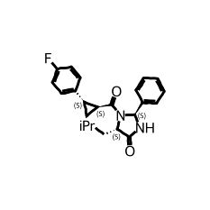 CC(C)C[C@H]1C(=O)N[C@H](c2ccccc2)N1C(=O)[C@H]1C[C@@H]1c1ccc(F)cc1